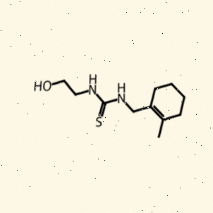 CC1=C(CNC(=S)NCCO)CCCC1